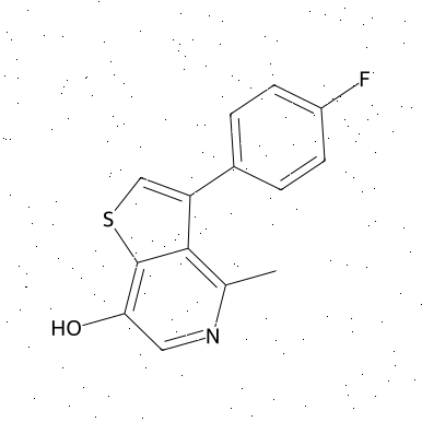 Cc1ncc(O)c2scc(-c3ccc(F)cc3)c12